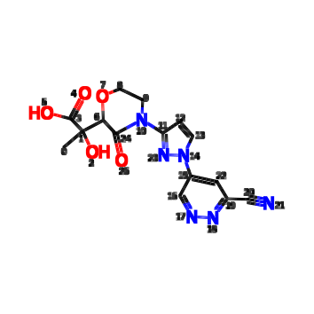 CC(O)(C(=O)O)C1OCCN(c2ccn(-c3cnnc(C#N)c3)n2)C1=O